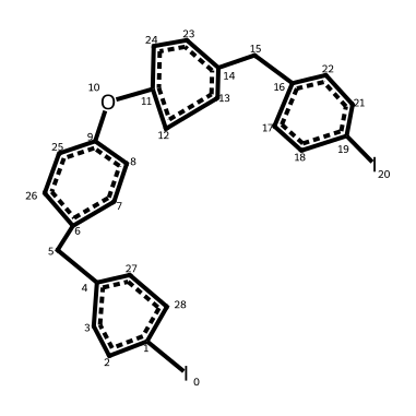 Ic1ccc(Cc2ccc(Oc3ccc(Cc4ccc(I)cc4)cc3)cc2)cc1